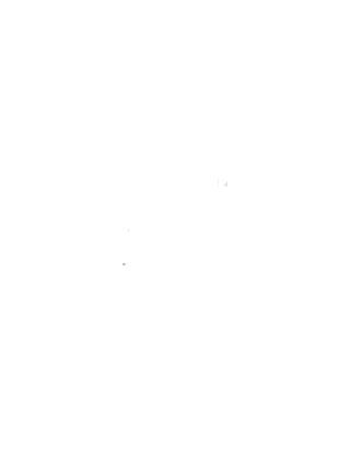 O=C(c1ccccc1)C(O)c1ccc(CBr)cc1